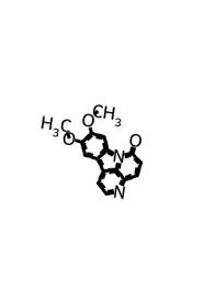 COc1cc2c3ccnc4ccc(=O)n(c2cc1OC)c43